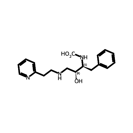 O=C(O)N[C@@H](Cc1ccccc1)[C@H](O)CNCCc1ccccn1